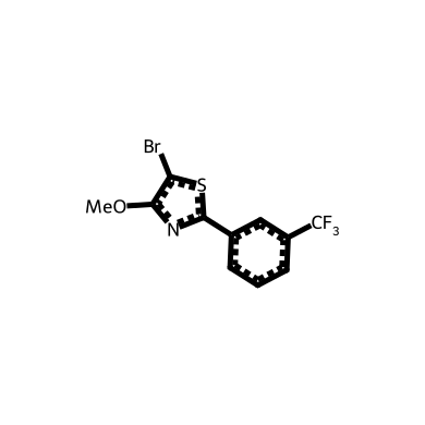 COc1nc(-c2cccc(C(F)(F)F)c2)sc1Br